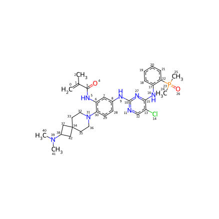 C=C(C)C(=O)Nc1cc(Nc2ncc(Cl)c(Nc3ccccc3P(C)(C)=O)n2)ccc1N1CCC2(CC1)CC(N(C)C)C2